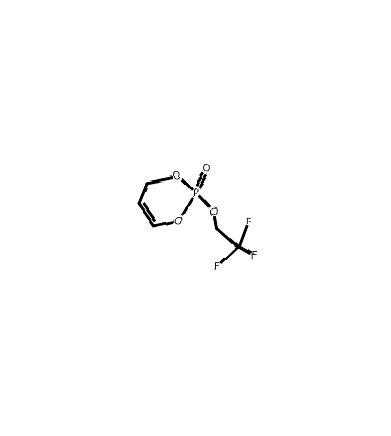 O=P1(OCC(F)(F)F)OC=CCO1